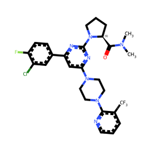 CN(C)C(=O)[C@@H]1CCCN1c1nc(-c2ccc(F)c(Cl)c2)cc(N2CCN(c3ncccc3C(F)(F)F)CC2)n1